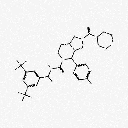 CC(c1cc(C(F)(F)F)cc(C(F)(F)F)c1)N(C)C(=O)N1CCC2CN(C(=O)C3CCOCC3)C[C@H]2C1c1ccc(F)cc1